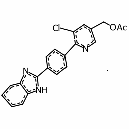 CC(=O)OCc1cnc(-c2ccc(-c3nc4ccccc4[nH]3)cc2)c(Cl)c1